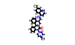 CCN1CCN(CC(=O)N(CCCNc2ccnc3cc(Cl)ccc23)C(c2ccccc2)c2ccccc2)CC1